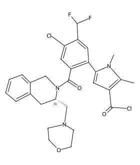 Cc1c(C(=O)Cl)cc(-c2cc(C(F)F)c(Cl)cc2C(=O)N2Cc3ccccc3C[C@H]2CN2CCOCC2)n1C